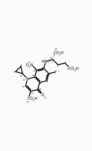 O=C(O)CC[C@H](Nc1c(F)cc2c(=O)c(C(=O)O)cn(C3CC3)c2c1[N+](=O)[O-])C(=O)O